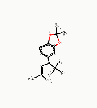 CC(C)=CC(c1ccc2c(c1)OC(C)(C)O2)C(C)(C)C